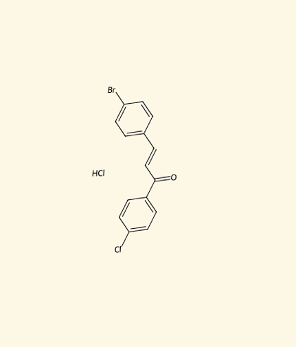 Cl.O=C(/C=C/c1ccc(Br)cc1)c1ccc(Cl)cc1